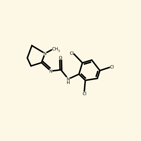 CN1CCCC1=NC(=O)Nc1c(Cl)cc(Cl)cc1Cl